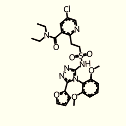 CCN(CC)C(=O)c1cc(Cl)cnc1CCS(=O)(=O)Nc1nnc(-c2ccco2)n1-c1c(OC)cccc1OC